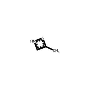 Cc1c[nH]s1